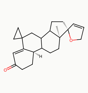 C[C@]12CCC3C(CC4(CC4)C4=CC(=O)CC[C@@H]43)C1CC[C@@]21C=CCO1